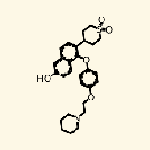 O=S1(=O)CCC(c2ccc3cc(O)ccc3c2Oc2ccc(OCCN3CCCCC3)cc2)CC1